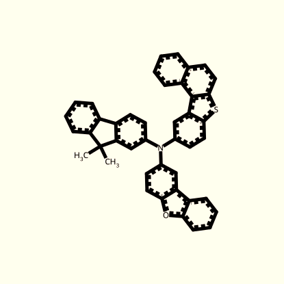 CC1(C)c2ccccc2-c2ccc(N(c3ccc4oc5ccccc5c4c3)c3ccc4sc5ccc6ccccc6c5c4c3)cc21